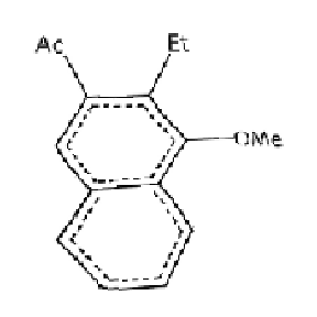 CCc1c(C(C)=O)cc2ccccc2c1OC